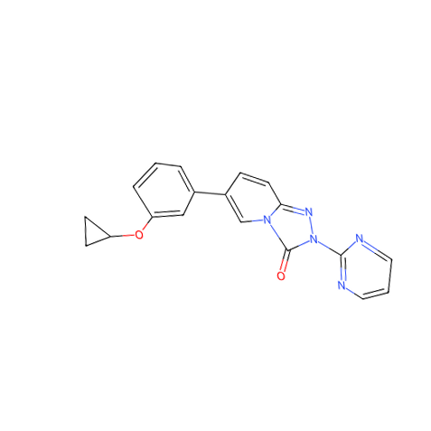 O=c1n(-c2ncccn2)nc2ccc(-c3cccc(OC4CC4)c3)cn12